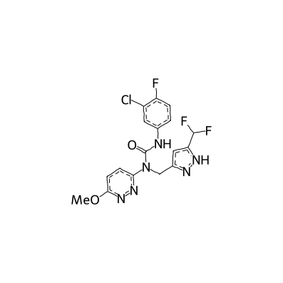 COc1ccc(N(Cc2cc(C(F)F)[nH]n2)C(=O)Nc2ccc(F)c(Cl)c2)nn1